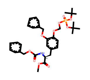 COC(=O)[C@H](Cc1ccc(OCOP(=O)(OC(C)(C)C)OC(C)(C)C)c(OCc2ccccc2)c1)NC(=O)OCc1ccccc1